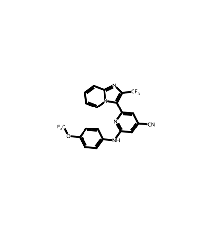 N#Cc1cc(Nc2ccc(OC(F)(F)F)cc2)nc(-c2c(C(F)(F)F)nc3ccccn23)c1